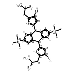 CCCCC(CC)Cc1sc(C2c3c[c]([Sn]([CH3])([CH3])[CH3])sc3C(c3cc(Cl)c(CC(CC)CCCC)s3)c3c[c]([Sn]([CH3])([CH3])[CH3])sc32)cc1Cl